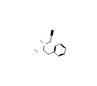 C#CCN(C)[C@@H](CO)Cc1ccccc1